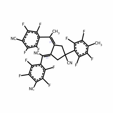 C/C(=C1\CC(C#N)(c2c(F)c(F)c(C)c(F)c2F)C\C1=C(\C#N)c1c(F)c(F)c(C#N)c(F)c1F)c1c(F)c(F)c(C#N)c(F)c1F